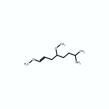 COC=CCC(CCC(C)N)OC